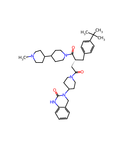 CN1CCC(C2CCN(C(=O)[C@@H](CC(=O)N3CCC(N4Cc5ccccc5NC4=O)CC3)Cc3ccc(C(C)(C)C)cc3)CC2)CC1